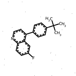 CC(C)(C)c1ccc(-c2[c]cnc3ccc(F)cc23)cc1